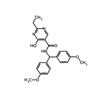 CCc1ncc(C(=O)NC(c2ccc(OC)cc2)c2ccc(OC)cc2)c(O)n1